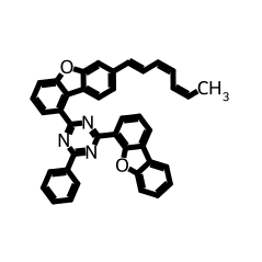 C\C=C/C=C\C=C\c1ccc2c(c1)oc1cccc(-c3nc(-c4ccccc4)nc(-c4cccc5c4oc4ccccc45)n3)c12